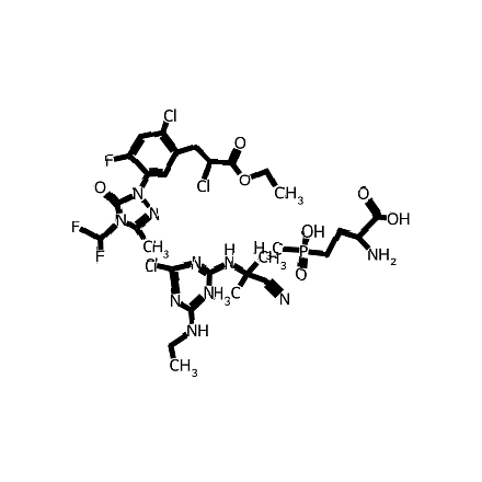 CCNc1nc(Cl)nc(NC(C)(C)C#N)n1.CCOC(=O)C(Cl)Cc1cc(-n2nc(C)n(C(F)F)c2=O)c(F)cc1Cl.CP(=O)(O)CCC(N)C(=O)O